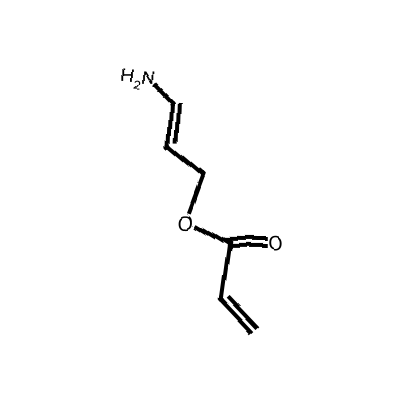 C=CC(=O)OCC=CN